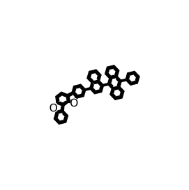 c1ccc(-c2c3ccccc3c(-c3ccc(-c4ccc5c(c4)oc4c5ccc5oc6ccccc6c54)c4ccccc34)c3ccccc23)cc1